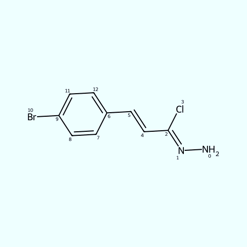 NN=C(Cl)C=Cc1ccc(Br)cc1